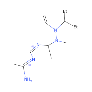 C=CN(C(CC)CC)N(C)C(C)/N=C\N=C(/C)N